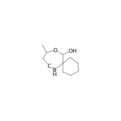 CC1CCBC2(CCCCC2)C(O)O1